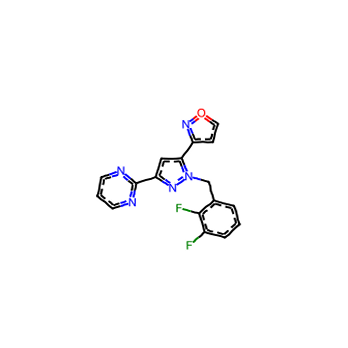 Fc1cccc(Cn2nc(-c3ncccn3)cc2-c2ccon2)c1F